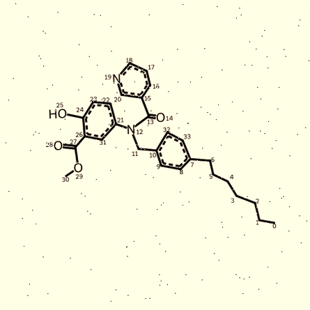 CCCCCCCc1ccc(CN(C(=O)c2cccnc2)c2ccc(O)c(C(=O)OC)c2)cc1